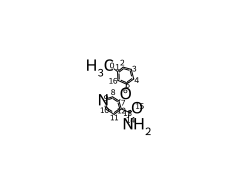 Cc1cccc(Oc2cnccc2C(N)=O)c1